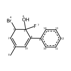 CC1=CC(Br)C(O)(F)C(c2ccccc2)=C1